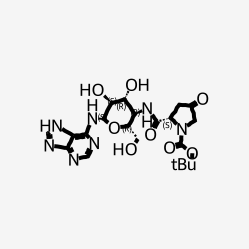 CC(C)(C)OC(=O)N1CC(=O)C[C@H]1C(=O)N[C@@H]1[C@@H](O)[C@H](O)[C@@H](Nc2ncnc3nc[nH]c23)O[C@H]1CO